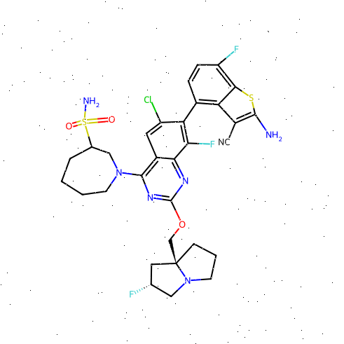 N#Cc1c(N)sc2c(F)ccc(-c3c(Cl)cc4c(N5CCCCC(S(N)(=O)=O)C5)nc(OC[C@@]56CCCN5C[C@H](F)C6)nc4c3F)c12